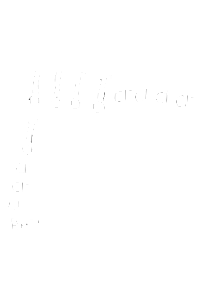 [C]=O.[C]=O.[C]=O.[C]=O.[C]=O.[Cl-].[Cl-].[Cl-].[Cl-].[Cl-].[Cl-].[Cl-].[Re+7]